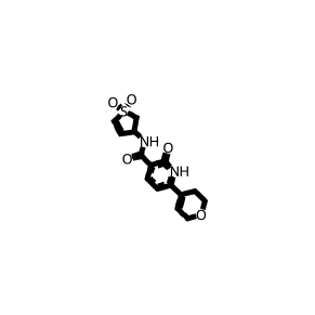 O=C(NC1C=CS(=O)(=O)C1)c1ccc(C2=CCOCC2)[nH]c1=O